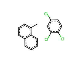 Cc1cccc2ccccc12.Clc1ccc(Cl)c(Cl)c1